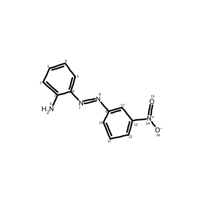 Nc1ccccc1/N=N/c1cccc([N+](=O)[O-])c1